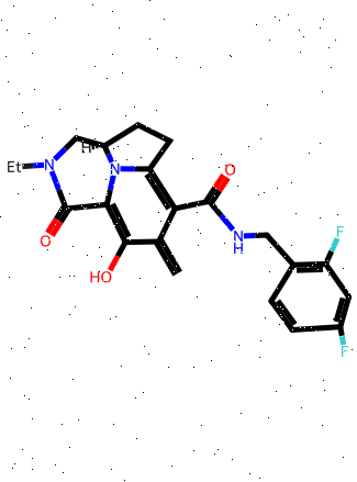 C=C1C(O)=C2C(=O)N(CC)C[C@H]3CCC(=C1C(=O)NCc1ccc(F)cc1F)N23